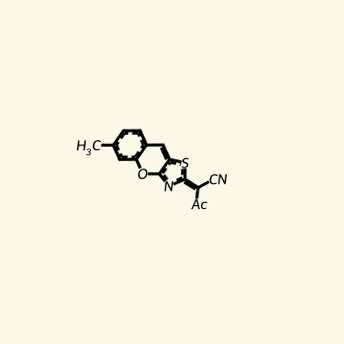 CC(=O)/C(C#N)=c1\nc2c(s1)=Cc1ccc(C)cc1O2